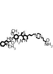 COc1cc(-c2csc3c(C=CCN4CCN(CCC(N)=O)CC4)cnc(N)c23)ccc1NC(=O)c1cc2ccccc2n1C